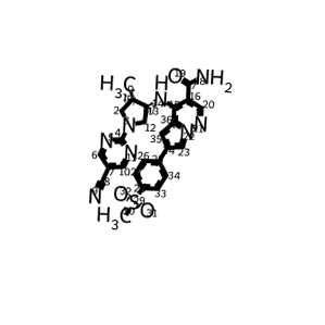 C[C@@H]1CN(c2ncc(C#N)cn2)C[C@H]1Nc1c(C(N)=O)cnn2cc(-c3ccc(S(C)(=O)=O)cc3)cc12